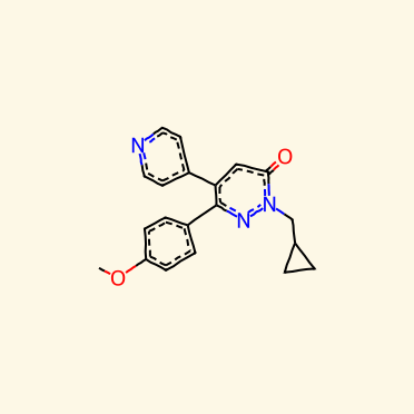 COc1ccc(-c2nn(CC3CC3)c(=O)cc2-c2ccncc2)cc1